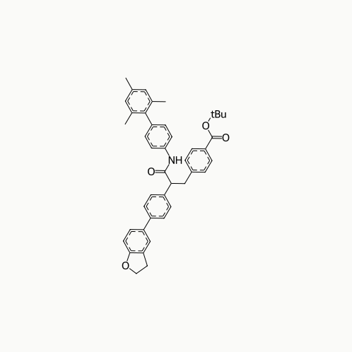 Cc1cc(C)c(-c2ccc(NC(=O)C(Cc3ccc(C(=O)OC(C)(C)C)cc3)c3ccc(-c4ccc5c(c4)CCO5)cc3)cc2)c(C)c1